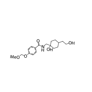 COCOc1ccc(C(=O)NCC2(O)CCC(CCO)CC2)cc1